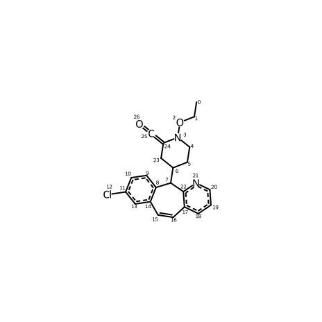 CCON1CCC(C2c3ccc(Cl)cc3C=Cc3cccnc32)CC1=C=O